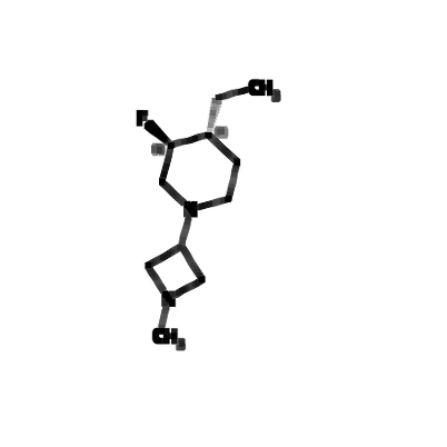 CC[C@@H]1CCN(C2CN(C)C2)C[C@H]1F